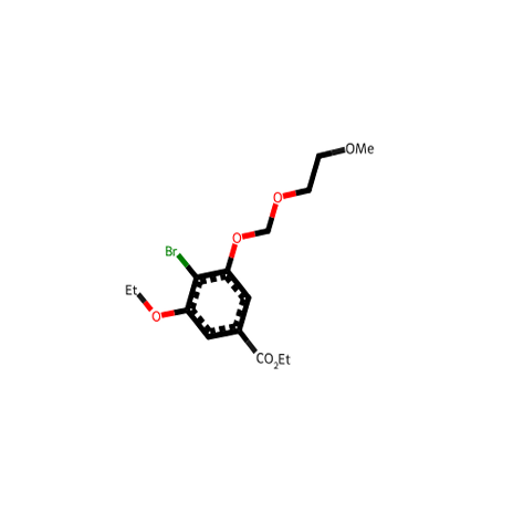 CCOC(=O)c1cc(OCC)c(Br)c(OCOCCOC)c1